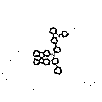 c1ccc(-c2ccc(N(c3cccc(-c4ccc5c6ccccc6n(-c6ccccc6)c5c4)c3)c3ccc4c(c3)C3(c5ccccc5-c5ccccc53)c3ccccc3-4)cc2)cc1